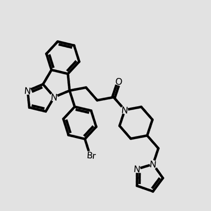 O=C(CCC1(c2ccc(Br)cc2)c2ccccc2-c2nccn21)N1CCC(Cn2cccn2)CC1